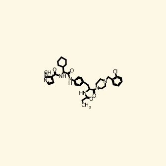 CCC(=O)NC(Cc1ccc(NC(=O)[C@@H](NC(=O)c2ccnn2C)C2CCCCC2)cc1)C(=O)N1CCN(Cc2ccccc2Cl)CC1